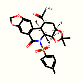 COC(=O)[C@H]1C[C@H]2OC(C)(C)O[C@H]2[C@H]2[C@H]1c1cc3c(cc1C(=O)N2S(=O)(=O)c1ccc(C)cc1)OCO3